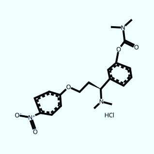 CN(C)C(=O)Oc1cccc([C@H](CCOc2ccc([N+](=O)[O-])cc2)N(C)C)c1.Cl